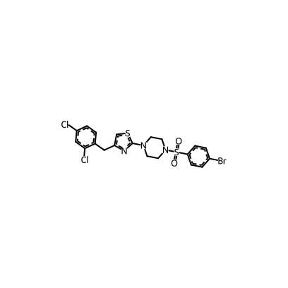 O=S(=O)(c1ccc(Br)cc1)N1CCN(c2nc(Cc3ccc(Cl)cc3Cl)cs2)CC1